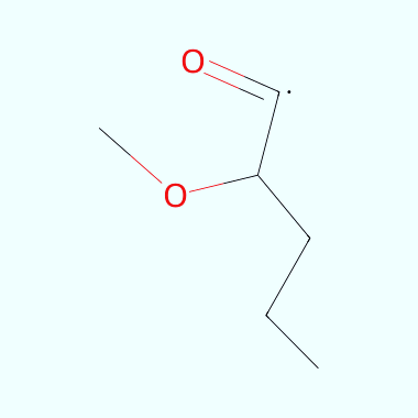 CCCC([C]=O)OC